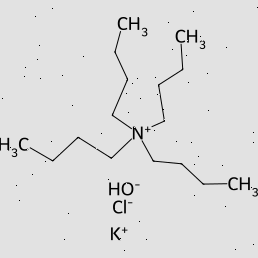 CCCC[N+](CCCC)(CCCC)CCCC.[Cl-].[K+].[OH-]